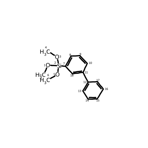 CO[Si](OC)(OC)c1cccc(-c2ccccc2)c1